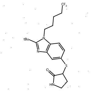 CC(C)(C)c1nc2cc(SC3CCNC3=O)ccc2n1CCCCC(F)(F)F